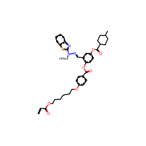 C=CC(=O)OCCCCCCOc1ccc(C(=O)Oc2ccc(OC(=O)C3CCC(C)CC3)cc2C=NN(CCCCCC)c2nc3ccccc3s2)cc1